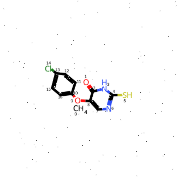 C.O=c1[nH]c(S)ncc1Oc1ccc(Cl)cc1